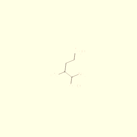 CCOC(=O)CCC(C)C(N)C(=O)OCC